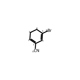 N#CC1=C[CH]CC(Br)=C1